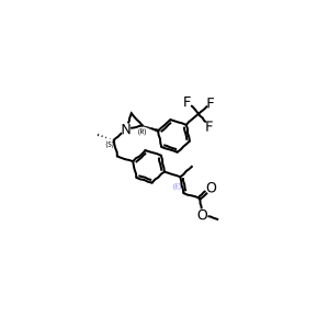 COC(=O)/C=C(\C)c1ccc(C[C@H](C)N2C[C@H]2c2cccc(C(F)(F)F)c2)cc1